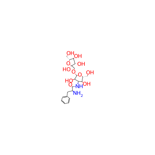 N[C@@H](Cc1ccccc1)C(=O)N[C@@H]1[C@H](O)[C@@H](CO)OC(OC[C@@]2(O)O[C@H](CO)[C@@H](O)[C@@H]2O)[C@@H]1O